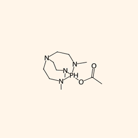 CC(=O)O[PH]12N(C)CCN(CCN1C)CCN2C